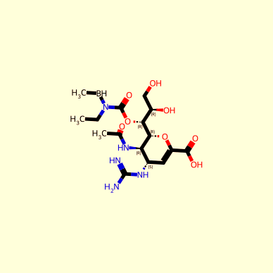 CBN(CC)C(=O)O[C@@H]([C@@H]1OC(C(=O)O)=C[C@H](NC(=N)N)[C@H]1NC(C)=O)[C@H](O)CO